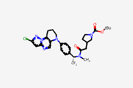 CN(C(=O)CC1CCN(C(=O)OC(C)(C)C)C1)[C@@H](c1ccc(N2CCCc3c2cnc2cc(Cl)nn32)cc1)C(F)(F)F